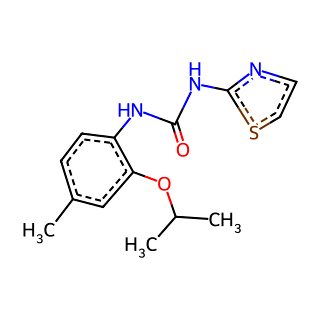 Cc1ccc(NC(=O)Nc2nccs2)c(OC(C)C)c1